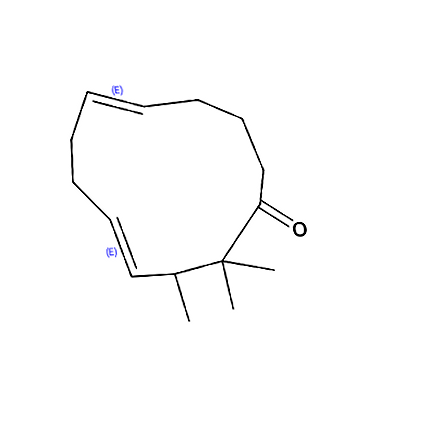 CC1/C=C/CC/C=C/CCCC(=O)C1(C)C